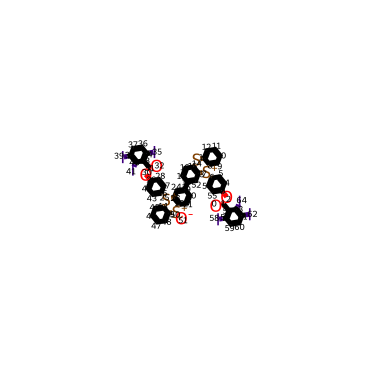 O=C(Oc1ccc([S+]2c3ccccc3Sc3ccc(-c4ccc5c(c4)[S+](c4ccc(OC(=O)c6c(I)ccc(I)c6I)cc4)c4ccccc4[S+]5[O-])cc32)cc1)c1c(I)ccc(I)c1I